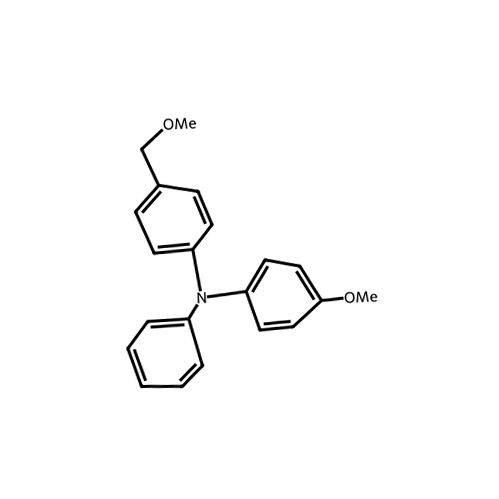 COCc1ccc(N(c2ccccc2)c2ccc(OC)cc2)cc1